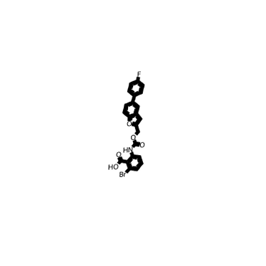 O=C(Nc1cccc(Br)c1C(=O)O)OCc1cc2cc(-c3ccc(F)cc3)ccc2o1